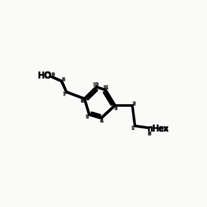 CCCCCCCCc1ccc(C[CH]O)cc1